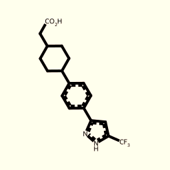 O=C(O)CC1CCC(c2ccc(-c3cc(C(F)(F)F)[nH]n3)cc2)CC1